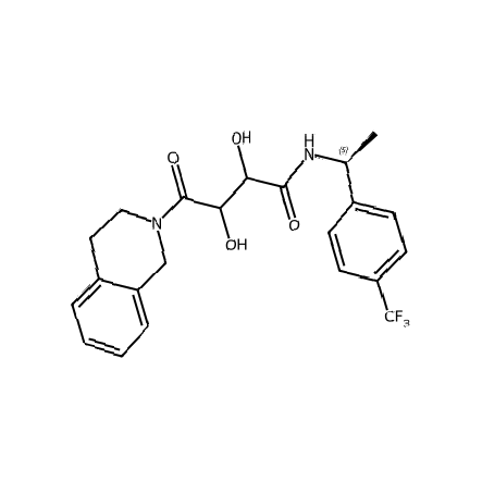 C[C@H](NC(=O)C(O)C(O)C(=O)N1CCc2ccccc2C1)c1ccc(C(F)(F)F)cc1